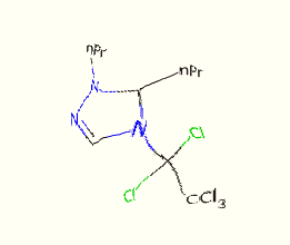 CCCC1N(CCC)N=CN1C(Cl)(Cl)C(Cl)(Cl)Cl